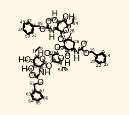 CC[C@@H]1O[C@H](O[C@H]2[C@@H](O)[C@H](O[C@@H]3[C@@H](O)[C@H](NC(=O)OCc4ccccc4)C[C@H](C)[C@H]3O[C@H]3O[C@H](CC)[C@@H](O)[C@H](O)[C@H]3NC(=O)OCc3ccccc3)O[C@@H]2CC)[C@H](NC(=O)OCc2ccccc2)[C@@H](O)[C@@H]1O